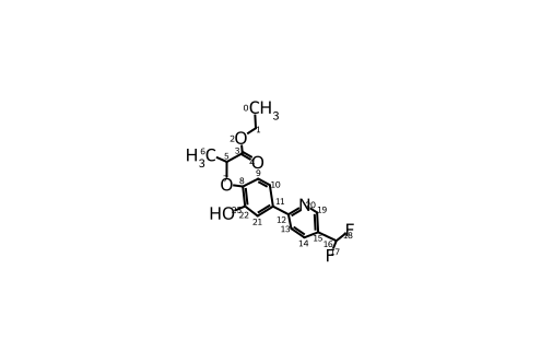 CCOC(=O)C(C)Oc1ccc(-c2ccc(C(F)F)cn2)cc1O